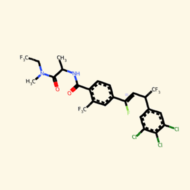 CC(NC(=O)c1ccc(/C(F)=C/C(c2cc(Cl)c(Cl)c(Cl)c2)C(F)(F)F)cc1C(F)(F)F)C(=O)N(C)CC(F)(F)F